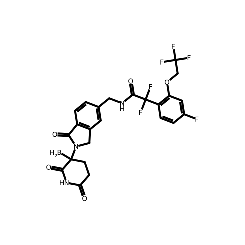 BC1(N2Cc3cc(CNC(=O)C(F)(F)c4ccc(F)cc4OCC(F)(F)F)ccc3C2=O)CCC(=O)NC1=O